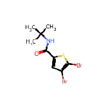 CC(C)(C)NC(=O)c1cc(Br)c(Br)s1